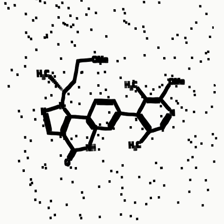 COCC[C@@H](C)n1ncc2c(=O)[nH]c3cc(-c4c(C)cnc(OC)c4C)ccc3c21